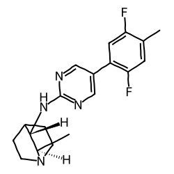 Cc1cc(F)c(-c2cnc(N[C@H]3C4CCN(CC4)[C@@H]3C)nc2)cc1F